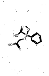 CO[Si](OCC(=O)O)(C(=O)O)c1ccccc1